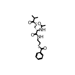 CC(=O)N[C@@H](CSC(=O)C(C)C)C(=O)NCCSC(=O)c1ccccc1